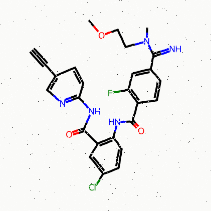 C#Cc1ccc(NC(=O)c2cc(Cl)ccc2NC(=O)c2ccc(C(=N)N(C)CCOC)cc2F)nc1